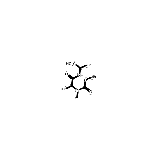 CC(C)C(NC(=O)C(C(C)C)N(C)C(=O)OC(C)(C)C)C(=O)O